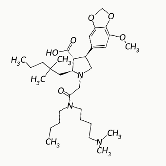 CCCCN(CCCCN(C)C)C(=O)CN1C[C@H](c2cc(OC)c3c(c2)OCO3)[C@@H](C(=O)O)[C@@H]1CC(C)(C)CCC